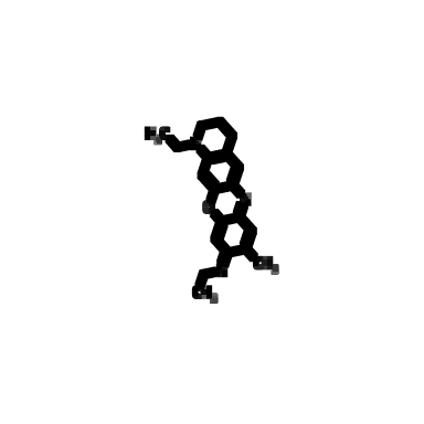 CCN=c1cc2oc3cc4c(cc3nc-2cc1C)CCCN4CC